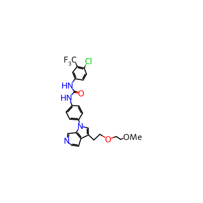 COCCOCCc1cn(-c2ccc(NC(=O)Nc3ccc(Cl)c(C(F)(F)F)c3)cc2)c2cnccc12